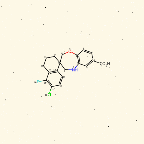 O=C(O)c1ccc2c(c1)NCC1(CCCc3c1ccc(Cl)c3F)CO2